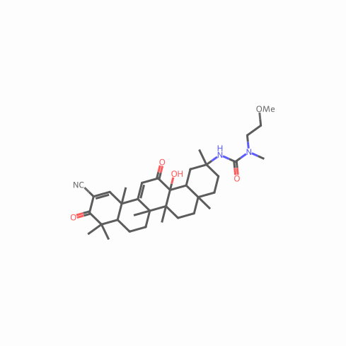 COCCN(C)C(=O)NC1(C)CCC2(C)CCC3(C)C4(C)CCC5C(C)(C)C(=O)C(C#N)=CC5(C)C4=CC(=O)C3(O)C2C1